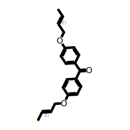 C/C=C/COc1ccc(C(=O)c2ccc(OC/C=C/C)cc2)cc1